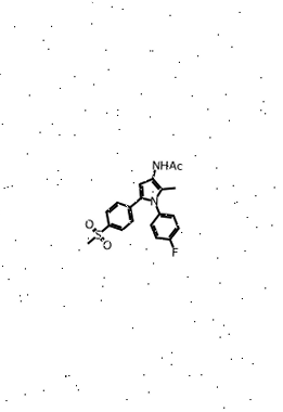 CC(=O)Nc1cc(-c2ccc(S(C)(=O)=O)cc2)n(-c2ccc(F)cc2)c1C